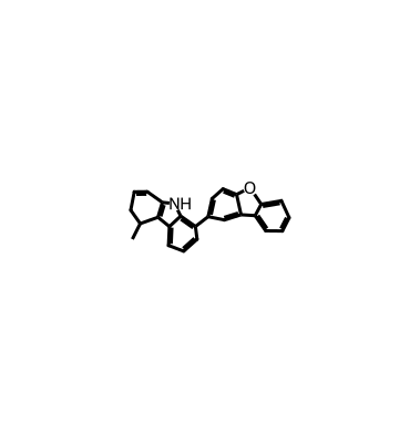 CC1CC=Cc2[nH]c3c(-c4ccc5oc6ccccc6c5c4)cccc3c21